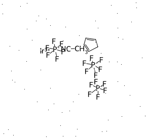 C1=CCC=C1.CC#N.F[P-](F)(F)(F)(F)F.F[P-](F)(F)(F)(F)F.F[P-](F)(F)(F)(F)F.[Ir+3]